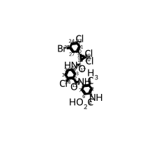 Cc1cc(NC(=O)O)ccc1NC(=O)c1cc(NC(=O)[C@@H]2[C@@H](c3cc(Cl)cc(Br)c3)C2(Cl)Cl)ccc1Cl